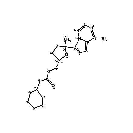 C[C@]1(c2ccc3c(N)ncnn23)CC[C@@H](COC(=O)CC2CCCCC2)O1